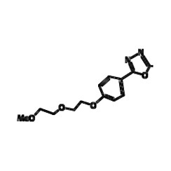 COCCOCCOc1ccc(-c2nn[c]o2)cc1